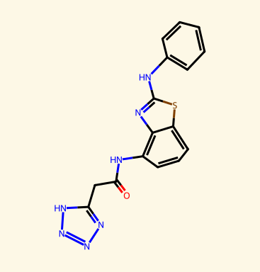 O=C(Cc1nnn[nH]1)Nc1cccc2sc(Nc3ccccc3)nc12